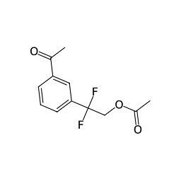 CC(=O)OCC(F)(F)c1cccc(C(C)=O)c1